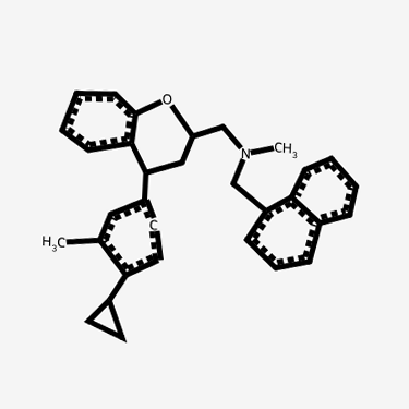 Cc1cc(C2CC(CN(C)Cc3cccc4ccccc34)Oc3ccccc32)ccc1C1CC1